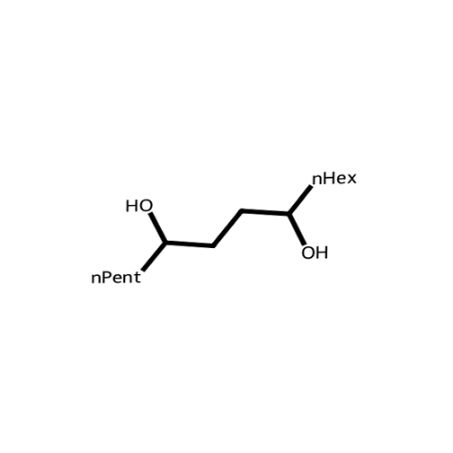 CCCCCCC(O)CCC(O)CCCCC